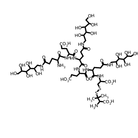 CC(C)(SSCC(NC(=O)C(CCC(=O)NCC(O)C(O)C(O)C(O)CO)NC(=O)C(CCC(=O)O)NC(=O)C(CCC(=O)NCC(O)C(O)C(O)C(O)CO)NC(=O)C(CCC(=O)O)NC(=O)C(N)CCC(=O)NCC(O)C(O)C(O)C(O)CO)C(=O)O)C(N)C(=O)O